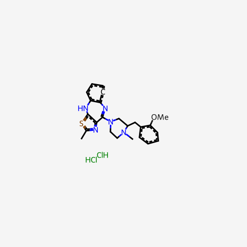 COc1ccccc1CC1CN(C2=Nc3ccccc3Nc3sc(C)nc32)CCN1C.Cl.Cl